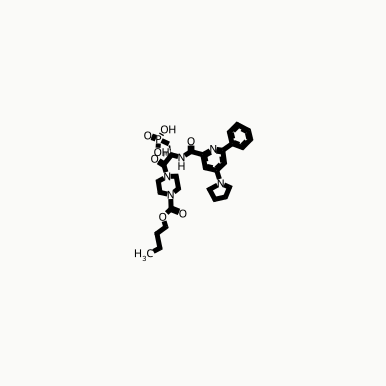 CCCCOC(=O)N1CCN(C(=O)[C@H](CP(=O)(O)O)NC(=O)c2cc(N3CCCC3)cc(-c3ccccc3)n2)CC1